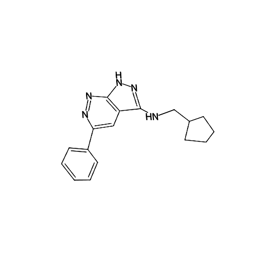 c1ccc(-c2cc3c(NCC4CCCC4)n[nH]c3nn2)cc1